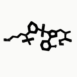 COCCCN(c1cccc(S(=O)(=O)n2cc(CN(C)C(=O)OC(C)(C)C)cc2-c2ccccc2F)c1)S(C)(=O)=O